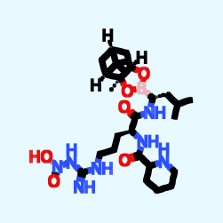 CC(C)C[C@H](NC(=O)[C@H](CCCNC(=N)N[N+](=O)O)NC(=O)C1CCCCN1)B1O[C@@H]2C[C@@H]3C[C@@H](C3(C)C)[C@]2(C)O1